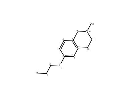 CCCOc1ccc2c(c1)CCN(C)C2